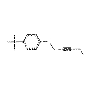 OCC#CCOc1ccc(C(F)(F)F)cc1